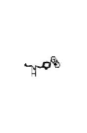 C=CCNCCc1ccc([N+](=O)[O-])cc1